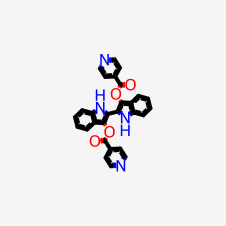 O=C(Oc1c(-c2[nH]c3ccccc3c2OC(=O)c2ccncc2)[nH]c2ccccc12)c1ccncc1